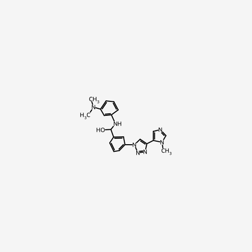 CN(C)c1cccc(NC(O)c2cccc(-n3cc(-c4cncn4C)nn3)c2)c1